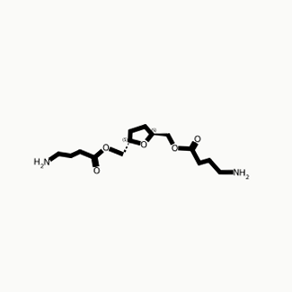 NCCCC(=O)OC[C@@H]1CC[C@@H](COC(=O)CCCN)O1